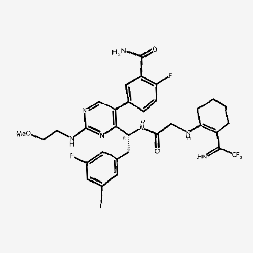 COCCNc1ncc(-c2ccc(F)c(C(N)=O)c2)c([C@@H](Cc2cc(F)cc(F)c2)NC(=O)CNC2=C(C(=N)C(F)(F)F)CCCC2)n1